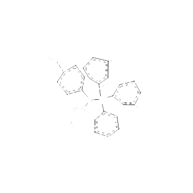 CNN(c1ccc(C#N)cc1)[P+](c1ccccc1)(c1ccccc1)c1ccccc1.[Br-]